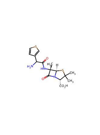 CC1(C)S[C@H]2N(C(=O)[C@]2(C)NC(=O)C(N)c2ccsc2)[C@H]1C(=O)O